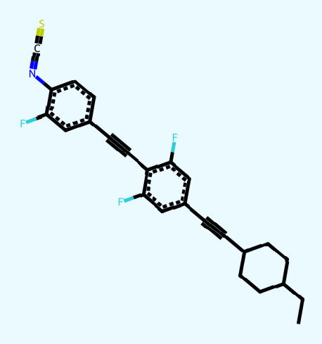 CCC1CCC(C#Cc2cc(F)c(C#Cc3ccc(N=C=S)c(F)c3)c(F)c2)CC1